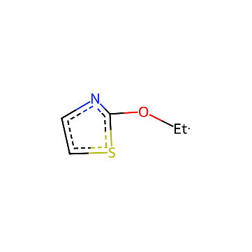 C[CH]Oc1nccs1